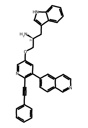 N[C@H](COc1cnc(C#Cc2ccccc2)c(-c2ccc3cnccc3c2)c1)Cc1c[nH]c2ccccc12